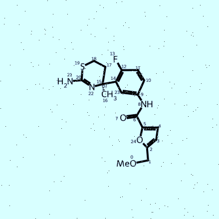 COCc1ccc(C(=O)Nc2ccc(F)c([C@]3(C)CCSC(N)=N3)c2)o1